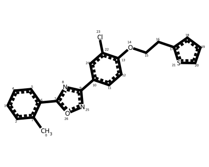 Cc1ccccc1-c1nc(-c2ccc(OCCc3cccs3)c(Cl)c2)no1